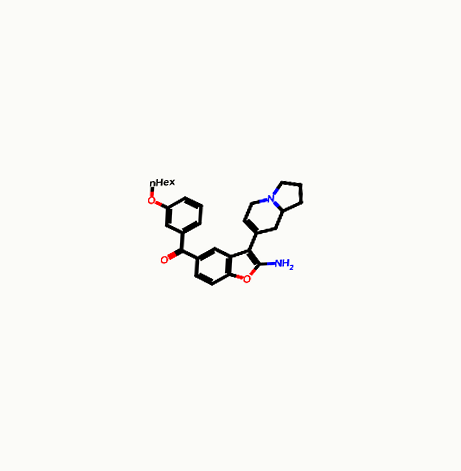 CCCCCCOc1cccc(C(=O)c2ccc3oc(N)c(C4=CCN5CCCC5C4)c3c2)c1